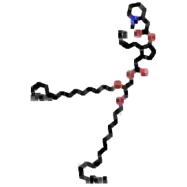 CC/C=C\CC1C(CC(=O)OCC(COCCCCCCCC/C=C\C/C=C\CCCCC)OCCCCCCCC/C=C\C/C=C\CCCCC)CCC1OC(=O)CC1CCCCN1C